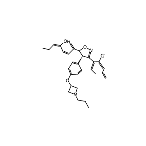 C=C/C=C(Cl)\C(=C/C)C1=NOC(C(=C)/C=C\C(O)=C/CC)[C@@H]1c1ccc(OC2CN(CCC)C2)cc1